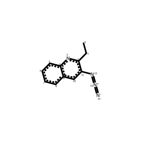 CCc1nc2ccccc2cc1N=[N+]=[N-]